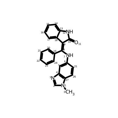 Cn1cnc2cc(NC(=C3C(=O)Nc4ccccc43)c3ccccc3)ccc21